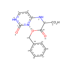 O=C(O)C(Nc1cc[nH]c(=O)n1)C(=O)OCc1ccccc1